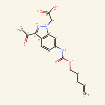 C=CCCCOC(=O)Nc1ccc2c(C(C)=O)nn(CC(=O)O)c2c1